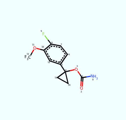 NC(=O)OC1(c2ccc(F)c(OC(F)(F)F)c2)CC1